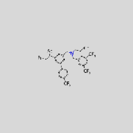 CC(=O)C(CC(C)C)c1cc(CN(CCC(C)C)Cc2cc(C(F)(F)F)cc(C(F)(F)F)c2)cc(-c2ccc(C(F)(F)F)cc2)c1